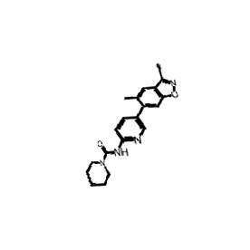 Cc1cc2c(C)noc2cc1-c1ccc(NC(=O)N2CCCCC2)nc1